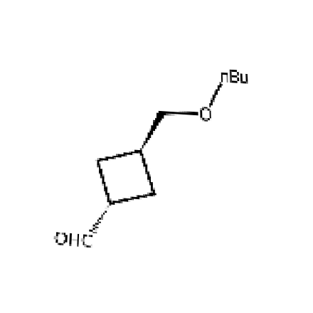 CCCCOC[C@H]1C[C@H](C=O)C1